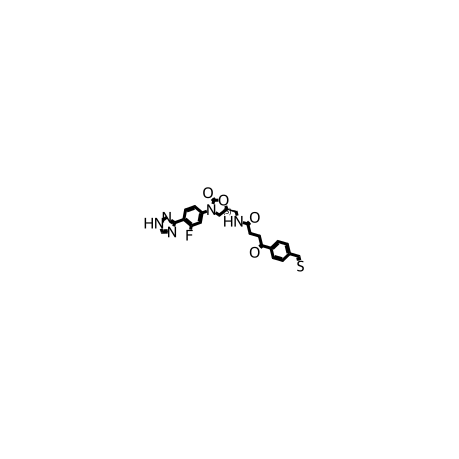 O=C(CCC(=O)c1ccc(C=S)cc1)NC[C@H]1CN(c2ccc(-c3nc[nH]n3)c(F)c2)C(=O)O1